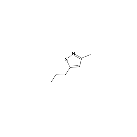 CCCc1cc(C)ns1